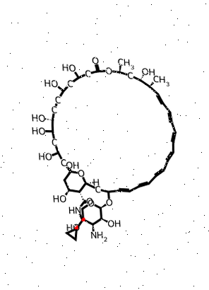 C[C@H]1C[C@H](O)[C@@H](C)/C=C/C=C/C=C/C=C/C=C/C=C/C=C/C(O[C@@H]2OC[C@@H](O)[C@H](N)[C@@H]2O)C[C@@H]2OC(O)(CC(O)CC(O)[C@H](O)CCC(O)CC(O)CC(=O)O1)C[C@H](O)[C@H]2C(=O)NCC1CC1